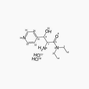 CCN(CC)C(=O)C(N)C(O)c1ccncc1.Cl.Cl